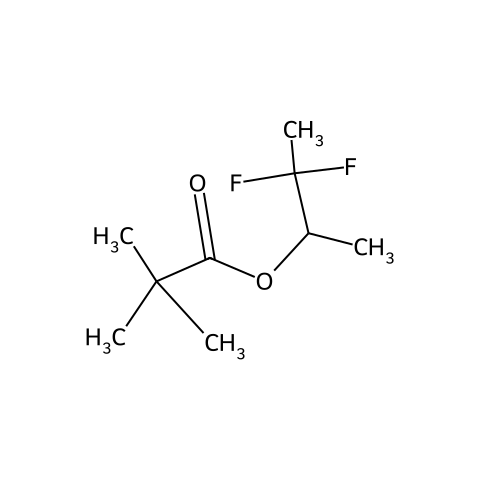 CC(OC(=O)C(C)(C)C)C(C)(F)F